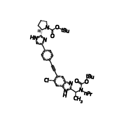 CCCN(C(=O)OC(C)(C)C)C(C)c1nc2cc(C#Cc3ccc(-c4c[nH]c([C@@H]5CCCN5C(=O)OC(C)(C)C)n4)cc3)c(Cl)cc2[nH]1